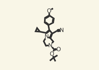 COc1ccc(-c2c(C#N)c3n(c2C2CC2)CCN(C(=O)OC(C)(C)C)C3)cc1